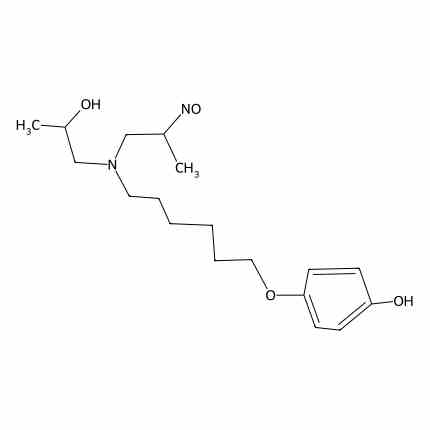 CC(O)CN(CCCCCCOc1ccc(O)cc1)CC(C)N=O